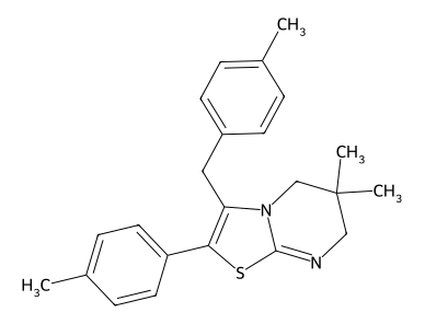 Cc1ccc(CC2=C(c3ccc(C)cc3)SC3=NCC(C)(C)CN32)cc1